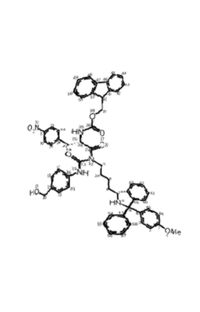 COc1ccc(C(NCCCCCN(C(=O)Nc2ccc(CO)cc2)C(=O)[C@H](Cc2ccc([N+](=O)[O-])cc2)NC(=O)OCC2c3ccccc3-c3ccccc32)(c2ccccc2)c2ccccc2)cc1